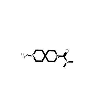 CN(C)C(=O)N1CCC2(CCN(P)CC2)CC1